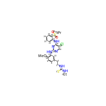 CCNC(=S)NCCc1ccc(OC)c(Nc2ncc(Cl)c(Nc3ccccc3S(=O)(=O)C(C)C)n2)c1